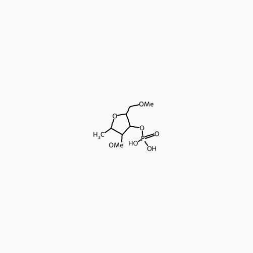 COCC1OC(C)C(OC)C1OP(=O)(O)O